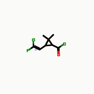 CC1(C)C(/C=C(/F)Cl)C1C(=O)Cl